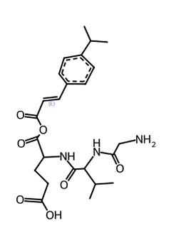 CC(C)c1ccc(/C=C/C(=O)OC(=O)C(CCC(=O)O)NC(=O)C(NC(=O)CN)C(C)C)cc1